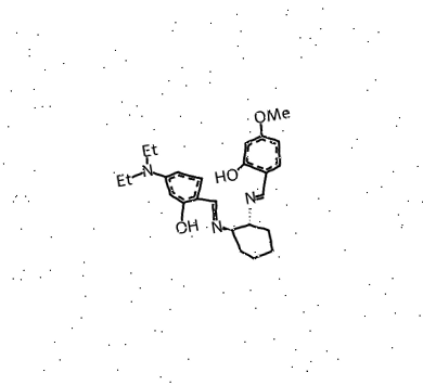 CCN(CC)c1ccc(/C=N/[C@@H]2CCCC[C@H]2/N=C/c2ccc(OC)cc2O)c(O)c1